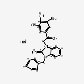 Br.CC(C)(C)c1cc(C(=O)Cn2c(=N)n(Cc3ccccc3)c3ccccc32)cc(Cl)c1O